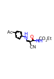 CCOC(=O)NC(=O)C(C#N)=CNc1ccc(C(C)=O)cc1